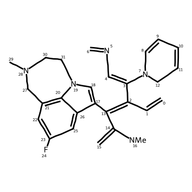 C=CC(/C(=C/N=C)N1C=CC=CC1)=C(\C(=C)NC)c1cn2c3c(cc(F)cc13)CN(C)CC2